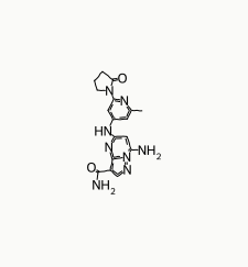 Cc1cc(Nc2cc(N)n3ncc(C(N)=O)c3n2)cc(N2CCCC2=O)n1